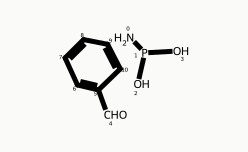 NP(O)O.O=Cc1ccccc1